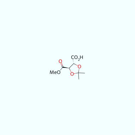 COC(=O)[C@@H]1OC(C)(C)O[C@H]1C(=O)O